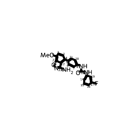 COc1ccc(-c2ccc(NC(=O)Nc3cccc(F)c3)cc2)c2c(N)noc12